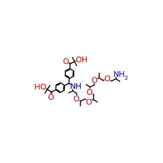 CC(N)COCC(C)OCC(C)OCC(C)OCC(C)OCC(C)NC(c1ccc(C(=O)C(C)(C)O)cc1)c1ccc(C(=O)C(C)(C)O)cc1